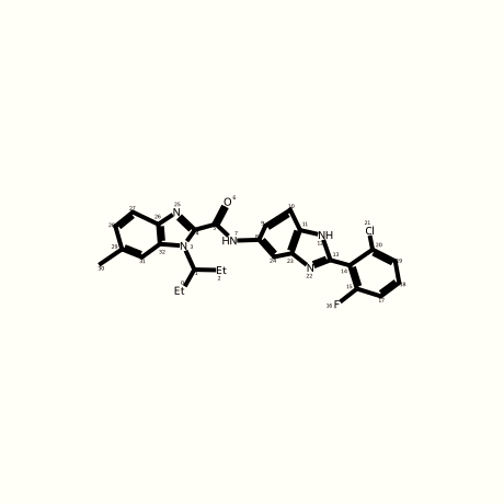 CCC(CC)n1c(C(=O)Nc2ccc3[nH]c(-c4c(F)cccc4Cl)nc3c2)nc2ccc(C)cc21